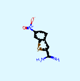 N=C(N)c1cc2ccc([N+](=O)[O-])cc2s1